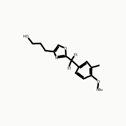 CCCCOc1ccc(C(CC)(CC)c2nc(CCCO)co2)cc1C